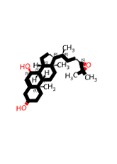 C[C@H](CC[C@@H]1OC1(C)C)[C@H]1CC[C@H]2[C@@H]3[C@H](O)C=C4CC(O)CC[C@]4(C)[C@H]3CC[C@]12C